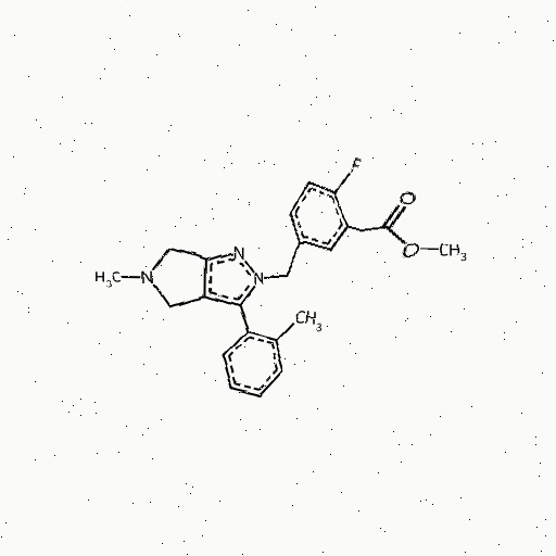 COC(=O)c1cc(Cn2nc3c(c2-c2ccccc2C)CN(C)C3)ccc1F